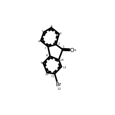 O=C1c2ccccc2-c2ccc(Br)cc21